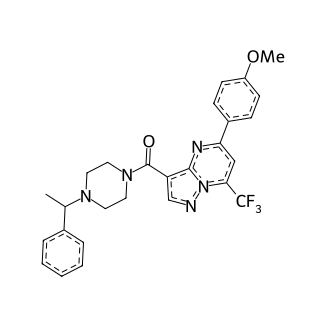 COc1ccc(-c2cc(C(F)(F)F)n3ncc(C(=O)N4CCN(C(C)c5ccccc5)CC4)c3n2)cc1